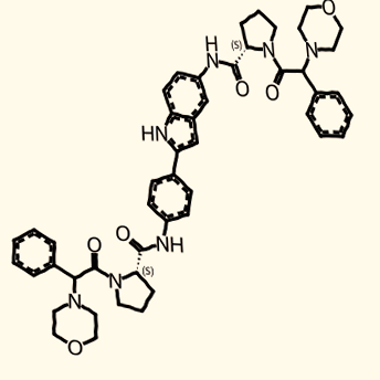 O=C(Nc1ccc(-c2cc3cc(NC(=O)[C@@H]4CCCN4C(=O)C(c4ccccc4)N4CCOCC4)ccc3[nH]2)cc1)[C@@H]1CCCN1C(=O)C(c1ccccc1)N1CCOCC1